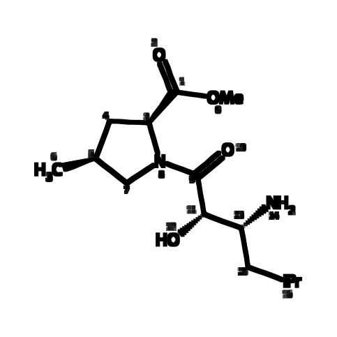 COC(=O)[C@@H]1C[C@H](C)CN1C(=O)[C@@H](O)[C@H](N)CC(C)C